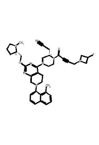 Cc1cccc2cccc(N3CCc4c(nc(OC[C@@H]5CCCN5C)nc4N4CCN(C(=O)C#CCN5CC(F)C5)[C@@H](CC#N)C4)C3)c12